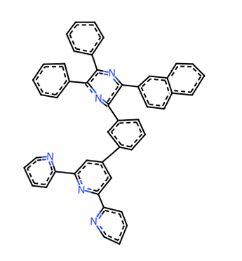 c1ccc(-c2nc(-c3cccc(-c4cc(-c5ccccn5)nc(-c5ccccn5)c4)c3)c(-c3ccc4ccccc4c3)nc2-c2ccccc2)cc1